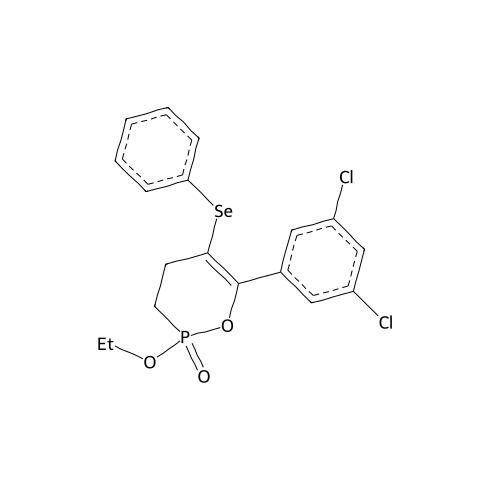 CCOP1(=O)CCC([Se]c2ccccc2)=C(c2cc(Cl)cc(Cl)c2)O1